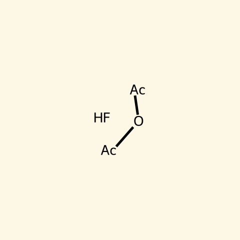 CC(=O)OC(C)=O.F